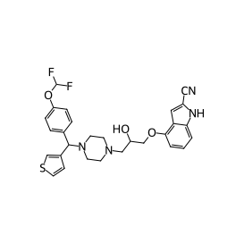 N#Cc1cc2c(OCC(O)CN3CCN(C(c4ccc(OC(F)F)cc4)c4ccsc4)CC3)cccc2[nH]1